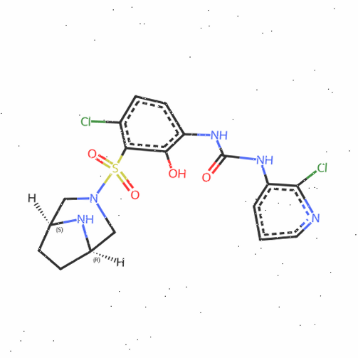 O=C(Nc1cccnc1Cl)Nc1ccc(Cl)c(S(=O)(=O)N2C[C@H]3CC[C@@H](C2)N3)c1O